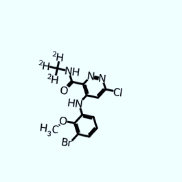 [2H]C([2H])([2H])NC(=O)c1nnc(Cl)cc1Nc1cccc(Br)c1OC